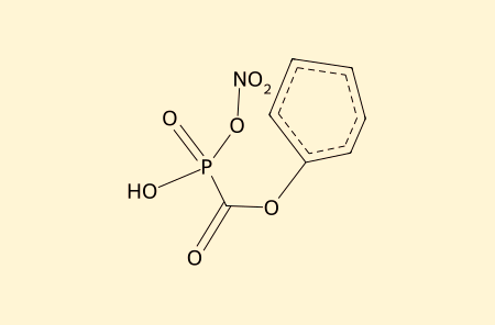 O=C(Oc1ccccc1)P(=O)(O)O[N+](=O)[O-]